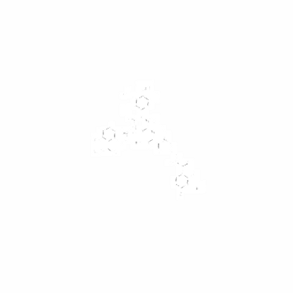 O=C(NCCCN1CCN(C(=O)NC(C(=O)N[C@H]2Cc3ccc(F)c(C(=O)O)c3OB2O)c2cc(F)c(O)c(O)c2Cl)C(=O)C1=O)c1ccc(F)c(O)c1F